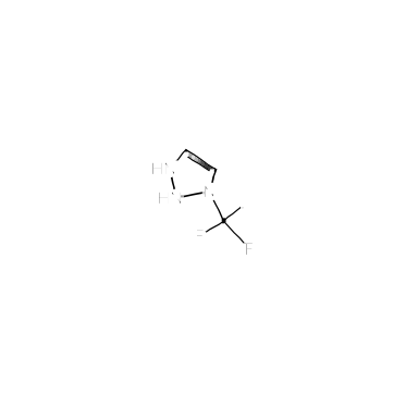 FC(F)(F)N1C=CNN1